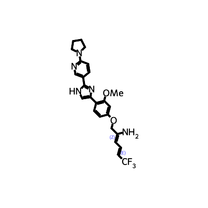 COc1cc(OC/C(N)=C/C=C/C(F)(F)F)ccc1-c1c[nH]c(-c2ccc(N3CCCC3)nc2)n1